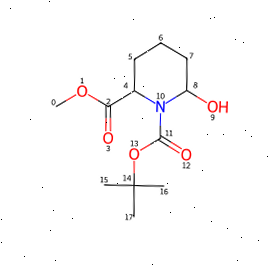 COC(=O)C1CCCC(O)N1C(=O)OC(C)(C)C